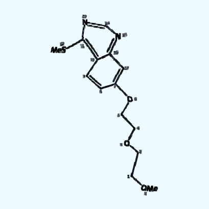 COCCOCCOc1ccc2c(SC)ncnc2c1